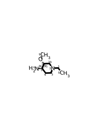 CCN1CC[C@@H](N)[C@H](OC)C1